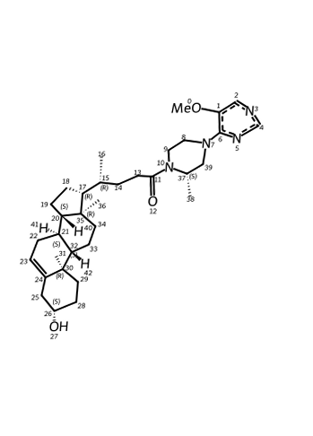 COc1cncnc1N1CCN(C(=O)CC[C@@H](C)[C@H]2CC[C@H]3[C@@H]4CC=C5C[C@@H](O)CC[C@]5(C)[C@H]4CC[C@]23C)[C@@H](C)C1